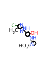 Cc1c(Cl)cnc2[nH]c(-c3ccc(NC[C@H]4CCCN4C(=O)O)c(O)c3)nc12